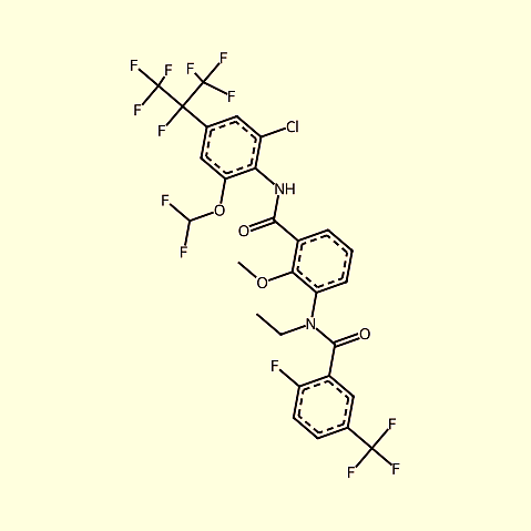 CCN(C(=O)c1cc(C(F)(F)F)ccc1F)c1cccc(C(=O)Nc2c(Cl)cc(C(F)(C(F)(F)F)C(F)(F)F)cc2OC(F)F)c1OC